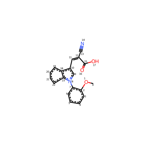 COc1ccccc1-n1cc(C=C(C#N)C(=O)O)c2ccccc21